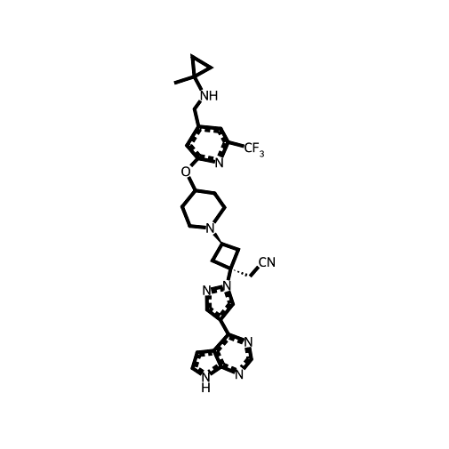 CC1(NCc2cc(OC3CCN([C@H]4C[C@@](CC#N)(n5cc(-c6ncnc7[nH]ccc67)cn5)C4)CC3)nc(C(F)(F)F)c2)CC1